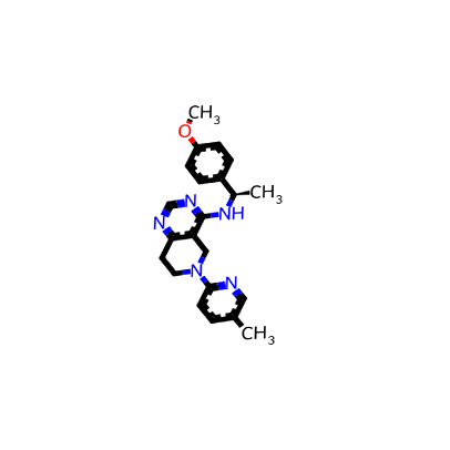 COc1ccc([C@@H](C)Nc2ncnc3c2CN(c2ccc(C)cn2)CC3)cc1